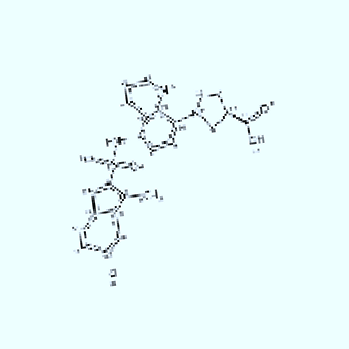 Cc1c(S(=O)(=O)Nc2ccc(N3CC[C@@H](C(=O)O)C3)c3ncccc23)sc2ccc(Cl)cc12